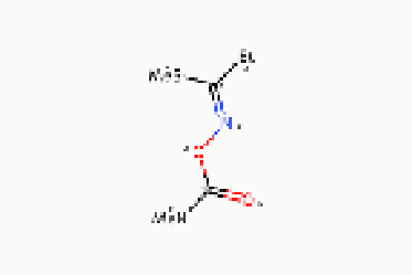 CCC(=NOC(=O)NC)SC